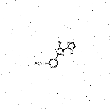 CC(=O)Nc1cc(-c2nc(Br)c(-c3ncc[nH]3)s2)ccn1